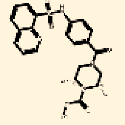 CC(C)OC(=O)N1[C@H](C)CN(C(=O)c2ccc(NS(=O)(=O)c3cccc4cccnc34)cc2)C[C@@H]1C